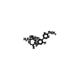 COc1ncc(-c2cc(C3(C)NC(=S)COC(C)(C)C3(F)F)c(F)cc2F)cn1